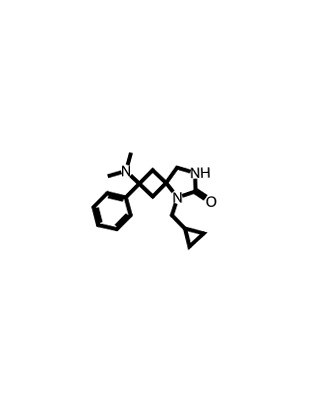 CN(C)C1(c2ccccc2)CC2(CNC(=O)N2CC2CC2)C1